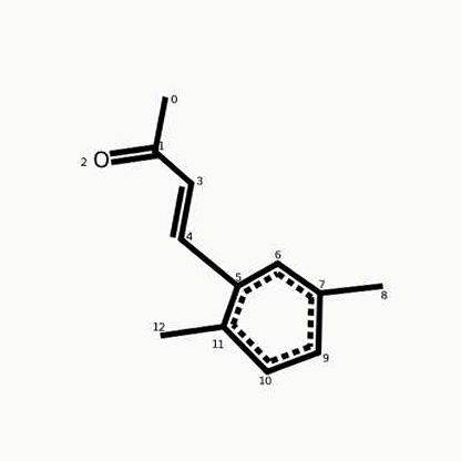 CC(=O)/C=C/c1cc(C)ccc1C